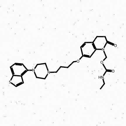 CCNC(=O)OCN1C(=O)CCc2ccc(OCCCCN3CCN(c4cccc5sccc45)CC3)cc21